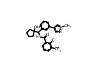 Cn1cc(-c2cccc(C(NC(=O)c3cccc(C(F)(F)F)c3Cl)C3(O)CCCC3)c2)cn1